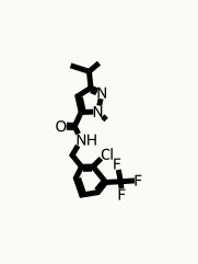 CC(C)c1cc(C(=O)NCc2cccc(C(F)(F)F)c2Cl)n(C)n1